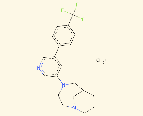 FC(F)(F)c1ccc(-c2cncc(N3CCN4CCCC(C4)C3)c2)cc1.[CH2]